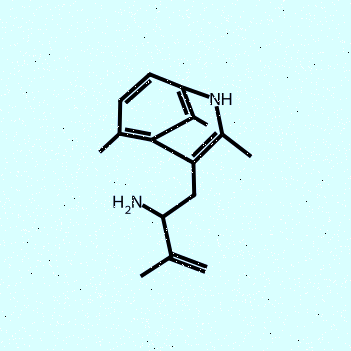 C=C(C)C(N)CC1=C(C)Nc2ccc(C)c1c2C